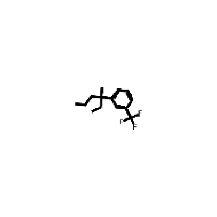 CCCC(C)(CC)c1cccc(C(F)(F)F)c1